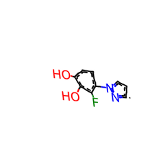 Oc1ccc(-n2cc[c]n2)c(F)c1O